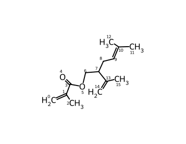 C=C(C)C(=O)OCC(CC=C(C)C)C(=C)C